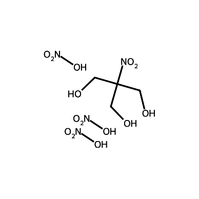 O=[N+]([O-])C(CO)(CO)CO.O=[N+]([O-])O.O=[N+]([O-])O.O=[N+]([O-])O